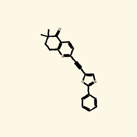 CC1(C)CCc2nc(C#Cc3cnc(-c4ccccc4)o3)ccc2C1=O